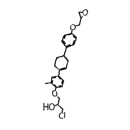 Cc1cc(C2=CCC(c3ccc(OCC4CO4)cc3)CC2)ccc1OCC(O)CCl